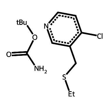 CC(C)(C)OC(N)=O.CCSCc1cnccc1Cl